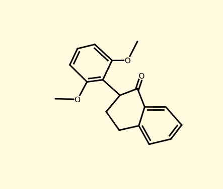 COc1cccc(OC)c1C1CCc2ccccc2C1=O